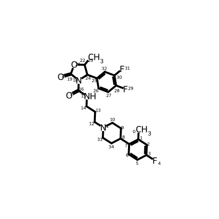 Cc1cc(F)ccc1C1CCN(CCCNC(=O)N2C(=O)OC(C)C2c2ccc(F)c(F)c2)CC1